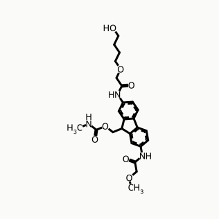 CNC(=O)OCC1c2cc(NC(=O)COC)ccc2-c2ccc(NC(=O)COCCCCO)cc21